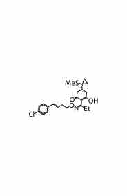 CCC(=NOCCC=Cc1ccc(Cl)cc1)C1=C(O)CC(C2(SC)CC2)CC1=O